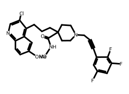 COc1ccc2ncc(Cl)c(CCCC3(C(=O)NO)CCN(CC#Cc4cc(F)cc(F)c4F)CC3)c2c1